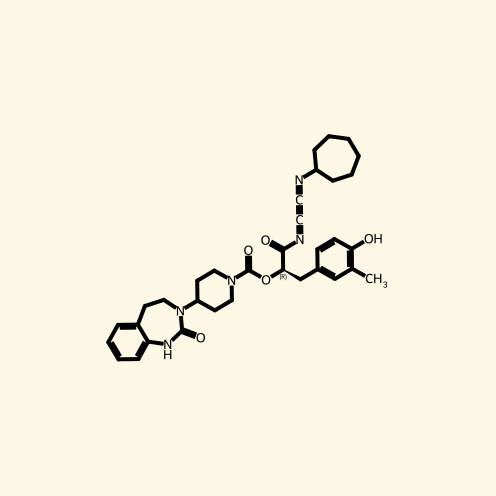 Cc1cc(C[C@@H](OC(=O)N2CCC(N3CCc4ccccc4NC3=O)CC2)C(=O)N=C=C=NC2CCCCCC2)ccc1O